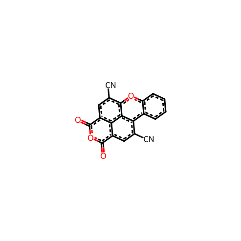 N#Cc1cc2c(=O)oc(=O)c3cc(C#N)c4c5ccccc5oc1c4c23